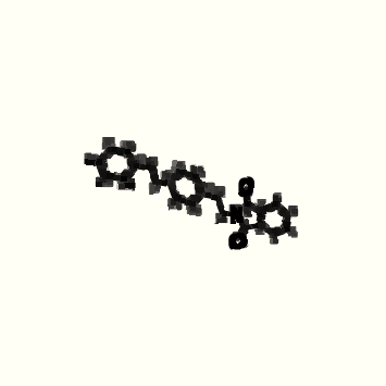 O=C1c2ccccc2C(=O)N1CCc1ccc(C=Cc2ccccc2)cc1